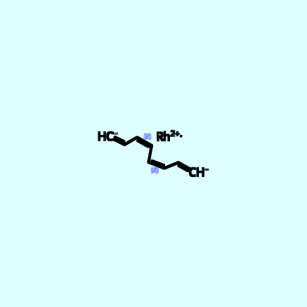 [CH-]=C/C=C\C=C/C=[CH-].[Rh+2]